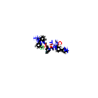 NC(=O)c1nn(CC(=O)N2CC(F)CC2COCNc2cccc3[nH]nc(-c4cccc(Cl)c4)c23)c2ccc(-c3ccnnc3)cc12